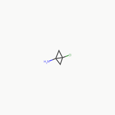 NC12CC1(Cl)C2